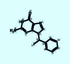 Nc1nc2c(ncn2C(I)c2ccccc2)c(=O)[nH]1